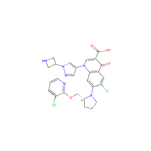 O=C(O)c1cn(-c2cnn(C3CNC3)c2)c2cc(N3CCC[C@@H]3COc3ncccc3Cl)c(Cl)cc2c1=O